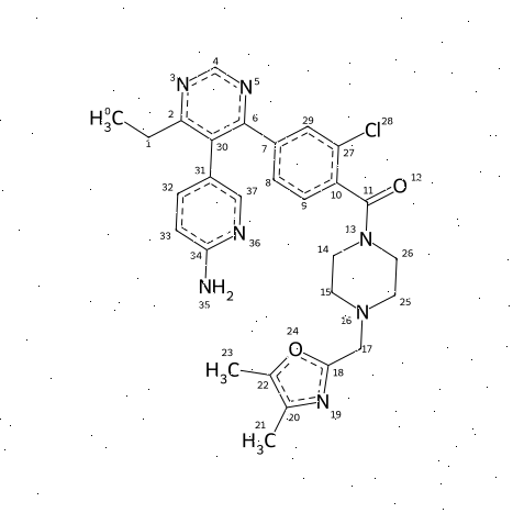 CCc1ncnc(-c2ccc(C(=O)N3CCN(Cc4nc(C)c(C)o4)CC3)c(Cl)c2)c1-c1ccc(N)nc1